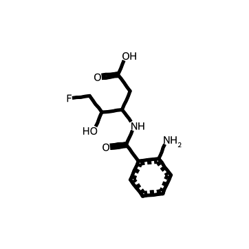 Nc1ccccc1C(=O)NC(CC(=O)O)C(O)CF